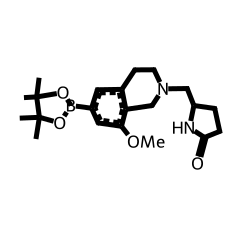 COc1cc(B2OC(C)(C)C(C)(C)O2)cc2c1CN(CC1CCC(=O)N1)CC2